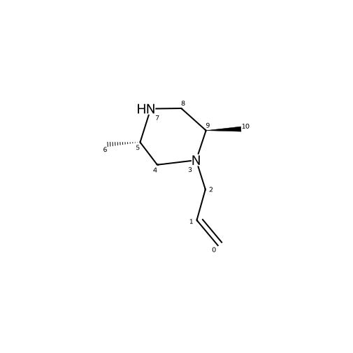 C=CCN1C[C@H](C)NC[C@H]1C